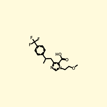 COCCn1cnc(CC(C)c2ccc(C(F)(F)F)cc2)c1C(=O)O